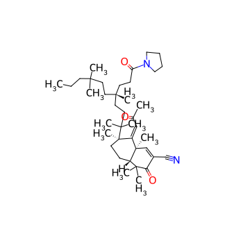 CCCC(C)(C)CC[C@](C)(CCC(=O)N1CCCC1)CCC(C)(C)[C@]1(C)CC[C@H]2C(C)(C)C(=O)C(C#N)=C[C@]2(C)/C1=C/C(C)=O